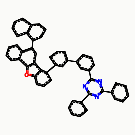 c1ccc(-c2nc(-c3ccccc3)nc(-c3cccc(-c4cccc(-c5cccc6oc7c8ccccc8c(-c8cccc9ccccc89)cc7c56)c4)c3)n2)cc1